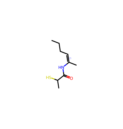 CCC/C=C(/C)NC(=O)C(C)S